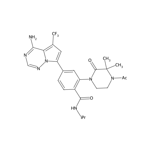 CC(=O)N1CCN(c2cc(-c3cc(C(F)(F)F)c4c(N)ncnn34)ccc2C(=O)NC(C)C)C(=O)C1(C)C